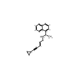 C[C@@H](NC/C=C/C#CC1CC1)c1cccc2ccccc12